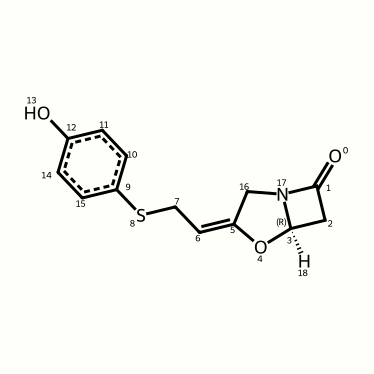 O=C1C[C@H]2OC(=CCSc3ccc(O)cc3)CN12